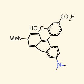 CNC1C=CC2=C(c3ccc(C(=O)O)cc3C(=O)O)c3ccc(N(C)C)cc3CC2=C1